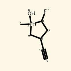 C#CC1CC(F)[PH](C)(O)C1